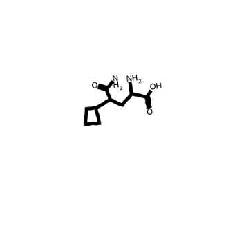 NC(=O)C(CC(N)C(=O)O)C1CCC1